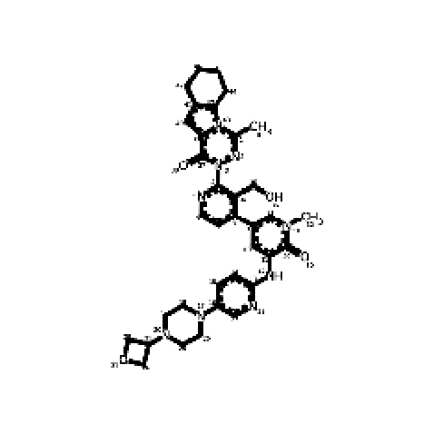 Cc1nn(-c2nccc(-c3cc(Nc4ccc(N5CCN(C6COC6)CC5)cn4)c(=O)n(C)c3)c2CO)c(=O)c2cc3c(n12)CCCC3